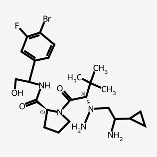 CC(C)(C)[C@@H](C(=O)N1CCC[C@H]1C(=O)NC(CO)c1ccc(Br)c(F)c1)N(N)CC(N)C1CC1